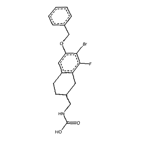 O=C(O)NCC1CCc2cc(OCc3ccccc3)c(Br)c(F)c2C1